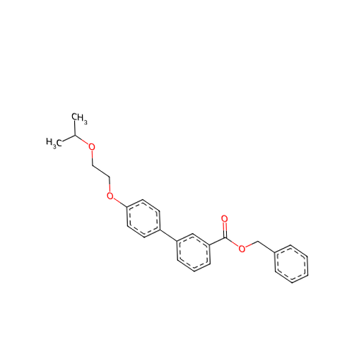 CC(C)OCCOc1ccc(-c2cccc(C(=O)OCc3ccccc3)c2)cc1